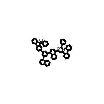 CC1(c2ccccc2)c2ccccc2-c2ccc(-c3cc(-c4cccc5ccccc45)cc(-c4ccc(-c5cc(-c6ccccc6-c6ccccc6)nc(-c6ccccc6)n5)c5ccccc45)c3)cc21